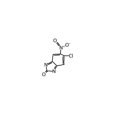 O=C1N=c2cc(Cl)c([N+](=O)[O-])cc2=N1